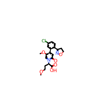 COCCC(C(=O)O)n1cc(OC)c(-c2cc(Cl)ccc2C2=NOCC2)cc1=O